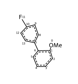 COc1c[c]ccc1-c1ccc(F)cc1